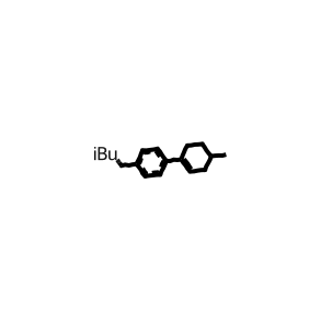 CCC(C)Cc1ccc(C2=CCC(C)CC2)cc1